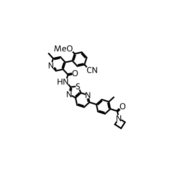 COc1ccc(C#N)cc1-c1cc(C)ncc1C(=O)Nc1nc2ccc(-c3ccc(C(=O)N4CCC4)c(C)c3)nc2s1